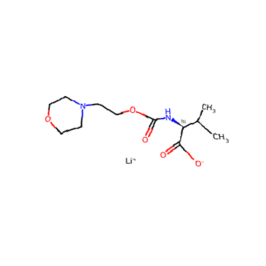 CC(C)[C@H](NC(=O)OCCN1CCOCC1)C(=O)[O-].[Li+]